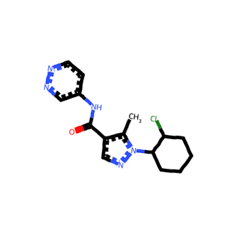 Cc1c(C(=O)Nc2ccnnc2)cnn1C1CCCCC1Cl